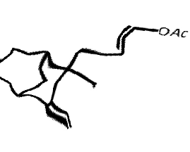 C=C1C2CCC(C2)C1(C)CC=COC(C)=O